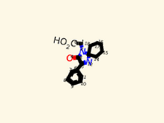 O=C(O)CN1C(=O)C(c2ccccc2)=NC12CCCCC2